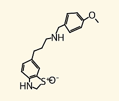 COc1ccc(CNCCCc2ccc3c(c2)[S+]([O-])CN3)cc1